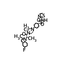 Cc1cc2cc(F)ccc2n1C(C)C(=O)N1CCN(c2ccc(S(=O)(=O)Nc3nccs3)cc2)CC1C